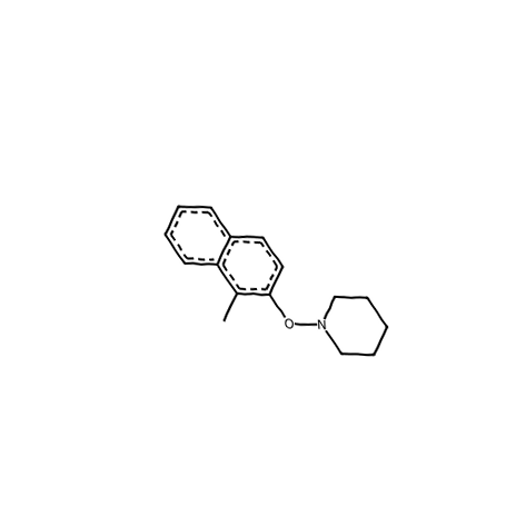 Cc1c(ON2CCCCC2)ccc2ccccc12